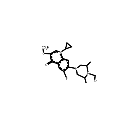 CC(=O)CN1C(C)CN(c2cc3c(cc2F)c(=O)c(OC(=O)O)cn3C2CC2)CC1C